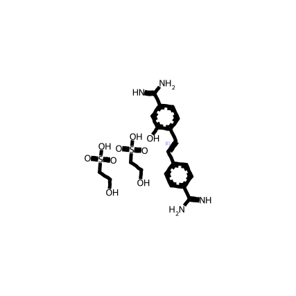 N=C(N)c1ccc(/C=C/c2ccc(C(=N)N)cc2O)cc1.O=S(=O)(O)CCO.O=S(=O)(O)CCO